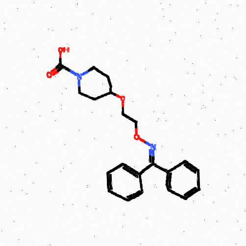 O=C(O)N1CCC(OCCON=C(c2ccccc2)c2ccccc2)CC1